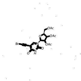 CC(=O)OC[C@@H]1O[C@H](n2cc(C#CBr)c(=O)[nH]c2=O)C(OC(C)=O)C1OC(C)=O